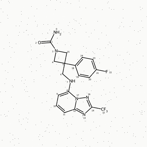 NC(=O)N1CC(CNc2cccc3nc(C(F)(F)F)nn23)(c2ccc(F)cc2)C1